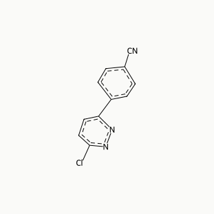 N#Cc1ccc(-c2ccc(Cl)nn2)cc1